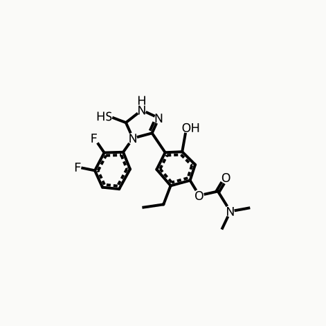 CCc1cc(C2=NNC(S)N2c2cccc(F)c2F)c(O)cc1OC(=O)N(C)C